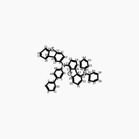 c1ccc(-c2ccc(N(c3ccc4sc5ccccc5c4c3)c3cccc4c3oc3cccc(N(c5ccccc5)c5ccccc5)c34)cc2)cc1